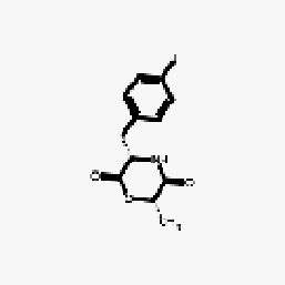 C[C@@H]1OC(=O)[C@H](Cc2ccc(I)cc2)NC1=O